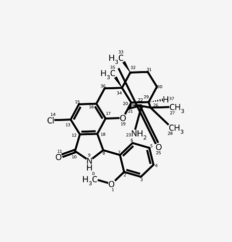 COc1ccccc1C1NC(=O)c2c(Cl)cc3c(c21)O[C@@]12CC(N)C(=O)C(C)(C)[C@@H]1CC[C@H](C)[C@@]2(C)C3